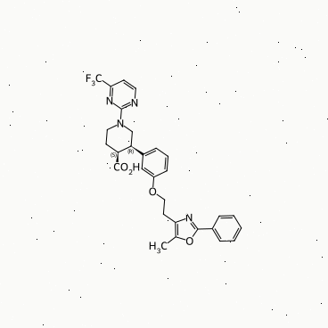 Cc1oc(-c2ccccc2)nc1CCOc1cccc([C@@H]2CN(c3nccc(C(F)(F)F)n3)CC[C@@H]2C(=O)O)c1